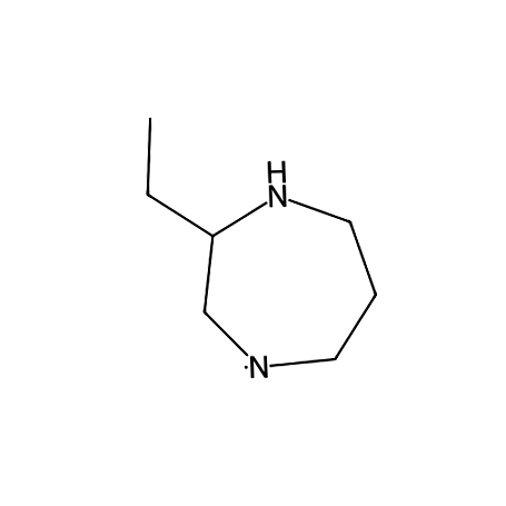 CCC1C[N]CCCN1